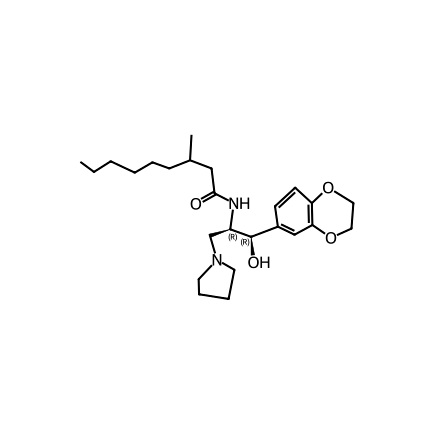 CCCCCCC(C)CC(=O)N[C@H](CN1CCCC1)[C@H](O)c1ccc2c(c1)OCCO2